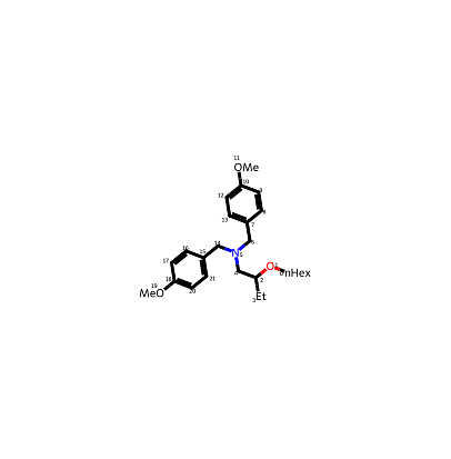 CCCCCCOC(CC)CN(Cc1ccc(OC)cc1)Cc1ccc(OC)cc1